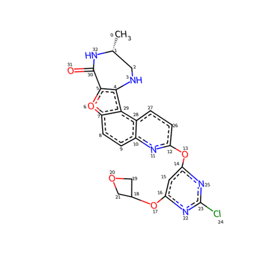 C[C@@H]1CNc2c(oc3ccc4nc(Oc5cc(OC6COC6)nc(Cl)n5)ccc4c23)C(=O)N1